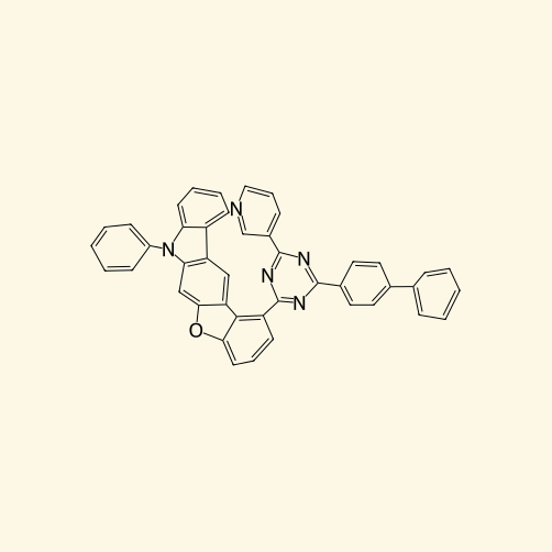 c1ccc(-c2ccc(-c3nc(-c4cccnc4)nc(-c4cccc5oc6cc7c(cc6c45)c4ccccc4n7-c4ccccc4)n3)cc2)cc1